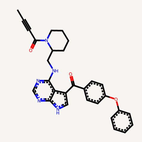 CC#CC(=O)N1CCCCC1CNc1ncnc2[nH]cc(C(=O)c3ccc(Oc4ccccc4)cc3)c12